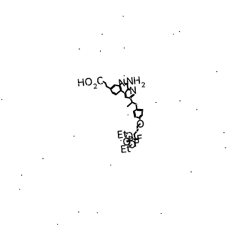 CCOP(=O)(OCC)C(F)(F)CCCOc1ccc(CC(C)c2cnc3c(N)nc4cc(CCC(=O)O)ccc4c3c2)cc1